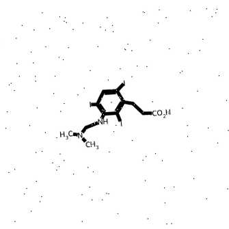 CN(C)CNc1c(I)cc(I)c(CCC(=O)O)c1I